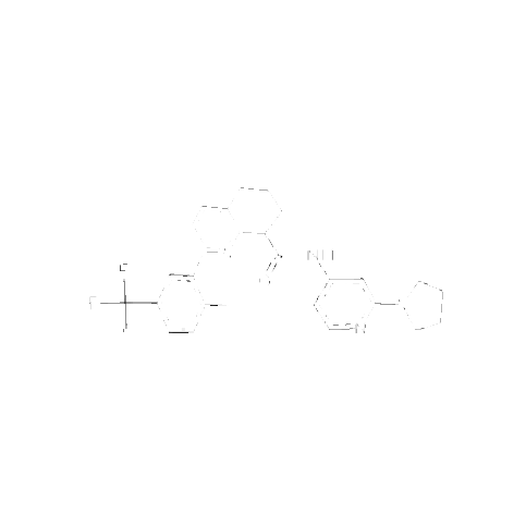 O=C(Nc1ccnc(N2CCCC2)c1)C1CCCc2ccc(-c3cc(C(F)(F)F)ccc3F)nc21